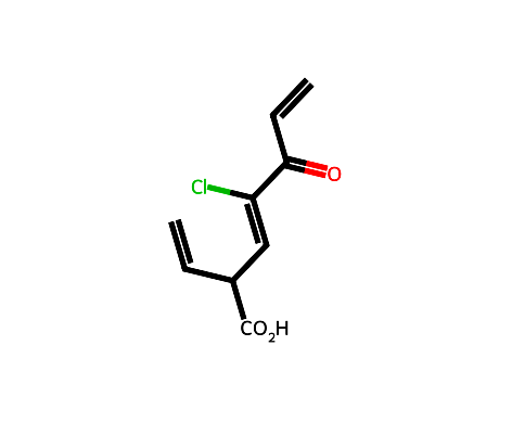 C=CC(=O)C(Cl)=CC(C=C)C(=O)O